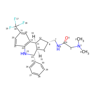 CN(C)CC(=O)NC[C@@H]1C[C@@H]2[C@H](C1)c1cc(C(F)(F)F)ccc1N[C@H]2c1ccccc1